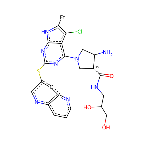 CCc1[nH]c2nc(Sc3cnc4cccnc4c3)nc(N3CC(N)[C@H](C(=O)NCC(O)CO)C3)c2c1Cl